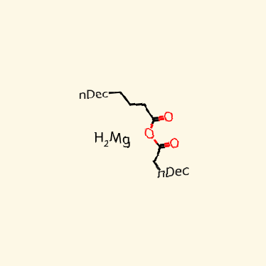 CCCCCCCCCCCCCC(=O)OC(=O)CCCCCCCCCCC.[MgH2]